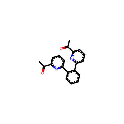 CC(=O)c1cccc(-c2ccccc2-c2cccc(C(C)=O)n2)n1